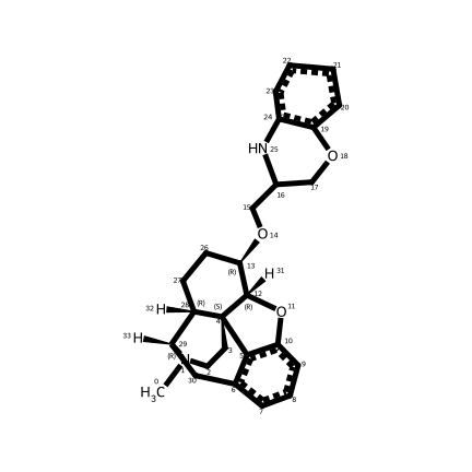 CN1CC[C@]23c4c5cccc4O[C@H]2[C@H](OCC2COc4ccccc4N2)CC[C@H]3[C@H]1C5